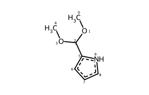 CO[C](OC)c1ccc[nH]1